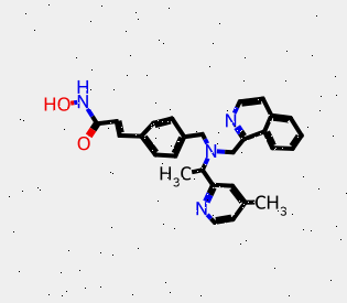 Cc1ccnc(C(C)N(Cc2ccc(C=CC(=O)NO)cc2)Cc2nccc3ccccc23)c1